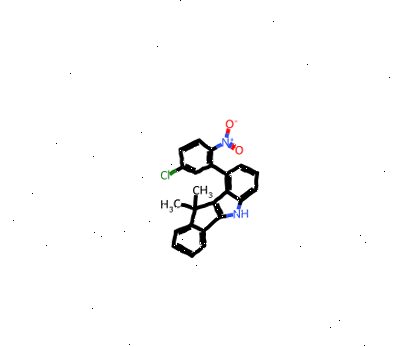 CC1(C)c2ccccc2-c2[nH]c3cccc(-c4cc(Cl)ccc4[N+](=O)[O-])c3c21